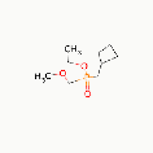 CCOP(=O)(COC)CC1CCC1